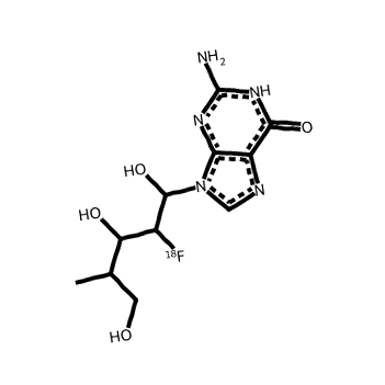 CC(CO)C(O)C([18F])C(O)n1cnc2c(=O)[nH]c(N)nc21